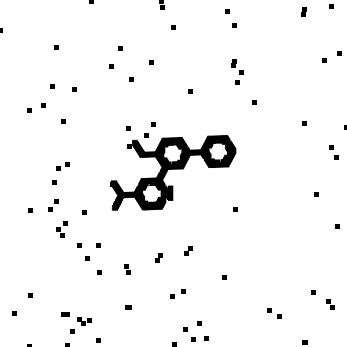 CCc1ccc(-c2ccccc2)cc1-c1cc(C(C)C)ccn1